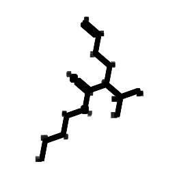 C=CCCC(C(=O)OCCCC)C(C)C